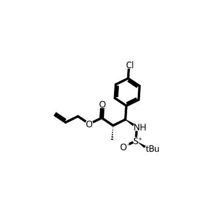 C=CCOC(=O)[C@@H](C)[C@H](N[S@+]([O-])C(C)(C)C)c1ccc(Cl)cc1